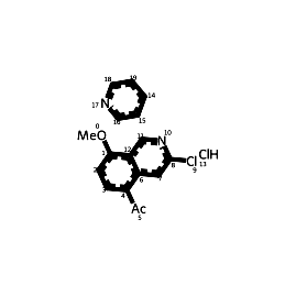 COc1ccc(C(C)=O)c2cc(Cl)ncc12.Cl.c1ccncc1